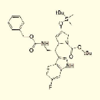 CC(C)(C)OC(=O)N1CC(O[Si](C)(C)C(C)(C)C)=CC1[C@H](CNC(=O)OCc1ccccc1)c1c[nH]c2cc(F)ccc12